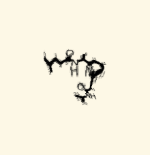 CC(C)CCC(=O)NC(C)c1cccc(CC(=O)NC(C)C)n1